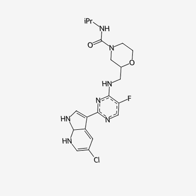 CC(C)NC(=O)N1CCOC(CNc2nc(C3=CNC4NC=C(Cl)C=C34)ncc2F)C1